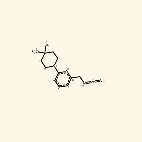 CC1(O)CCN(c2cccc(CN=[N+]=[N-])n2)CC1